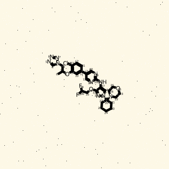 CC(Cn1cnnn1)Oc1cc(-c2cnc(Nc3cn(C4(N5CCOCC5)CCCCC4)nc3OCC(F)F)nc2)ccc1Cl